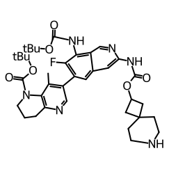 Cc1c(-c2cc3cc(NC(=O)OC4CC5(CCNCC5)C4)ncc3c(NC(=O)OC(C)(C)C)c2F)cnc2c1N(C(=O)OC(C)(C)C)CCC2